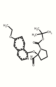 CCOc1ccc2c(O[C@]3(C(=O)O)CCCN3C(=O)OC(C)(C)C)nccc2c1